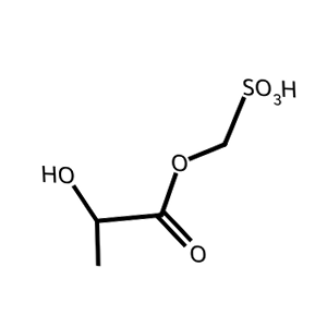 CC(O)C(=O)OCS(=O)(=O)O